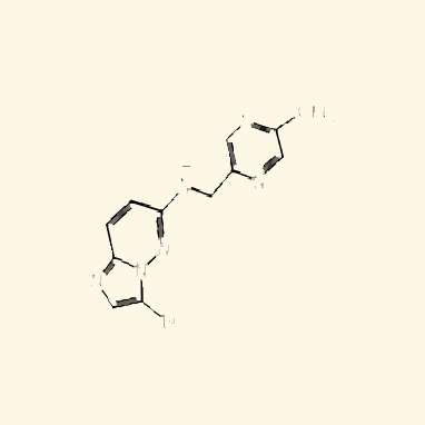 Cc1cnc(CNc2ccc3ncc(Br)n3n2)cn1